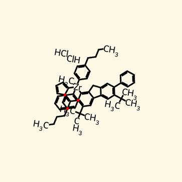 Cl.Cl.[CH2]=[Zr]([C]1=CC=CC1)([c]1ccc(CCCC)cc1)([c]1ccc(CCCC)cc1)[c]1c2c(cc(C(C)(C)C)c1-c1ccccc1)-c1cc(C(C)(C)C)c(-c3ccccc3)cc1C2